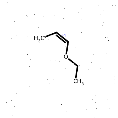 C/C=C\OCC